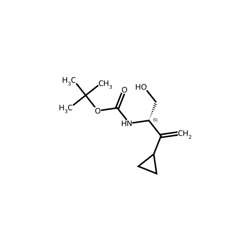 C=C(C1CC1)[C@@H](CO)NC(=O)OC(C)(C)C